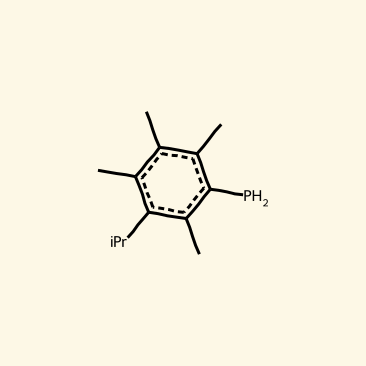 Cc1c(C)c(P)c(C)c(C(C)C)c1C